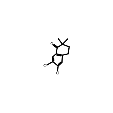 CC1(C)CCc2cc(Cl)c(Cl)cc2C1=O